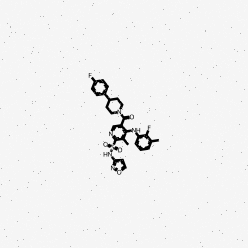 Cc1cccc(Nc2c(C(=O)N3CCC(c4ccc(F)cc4)CC3)cnc(S(=O)(=O)Nc3ccon3)c2C)c1F